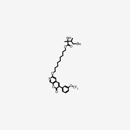 CC(CC(C)(C)C)C(C)(N)C(=O)OCCCCCCCCCOc1cc2cc(-c3cccc(OC(F)(F)F)c3)c(=O)oc2cn1